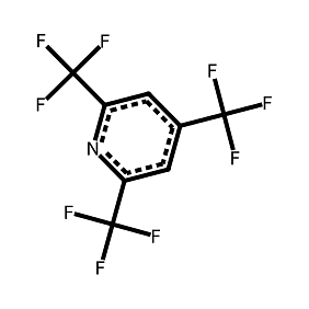 FC(F)(F)c1cc(C(F)(F)F)nc(C(F)(F)F)c1